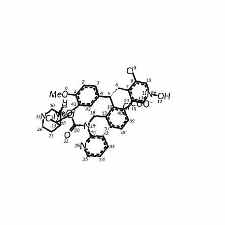 COc1ccc([C@H](Cc2c(Cl)c[n+](O)cc2Cl)c2c(CN(C(=O)O[C@H]3CN4CCC3CC4)c3ccccn3)cccc2C(=O)[O-])cc1OC